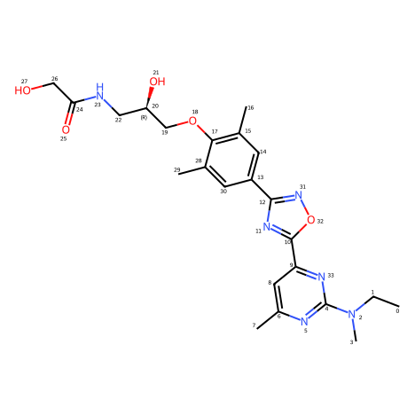 CCN(C)c1nc(C)cc(-c2nc(-c3cc(C)c(OC[C@H](O)CNC(=O)CO)c(C)c3)no2)n1